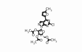 CC(=O)OC[C@H]1O[C@@H](n2ncc3c(-c4ccc(C)o4)nc(Cl)nc32)[C@H](OC(C)=O)[C@@H]1OC(C)=O